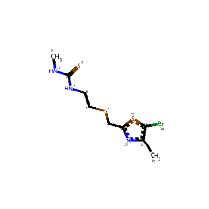 CNC(=S)NCCSCc1nc(C)c(Br)s1